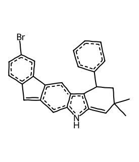 CC1(C)C=c2[nH]c3cc4c(cc3c2C(c2ccccc2)C1)-c1cc(Br)ccc1C=4